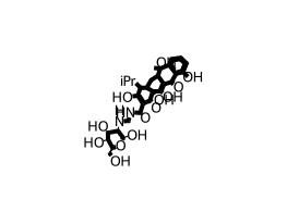 CC(C)C1C(O)=C(C(=O)NCN[C@H]2[C@H](O)[C@@H](O)[C@H](CO)O[C@H]2O)C(=O)C2(O)C(O)=C3C(=O)c4c(O)cccc4C(C)(O)C3CC12